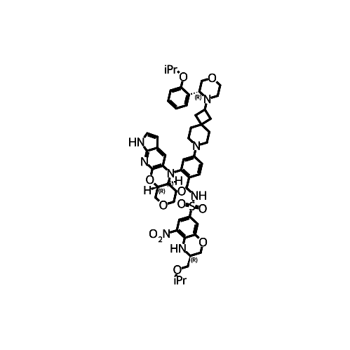 CC(C)OC[C@@H]1COc2cc(S(=O)(=O)NC(=O)c3ccc(N4CCC5(CC4)CC(N4CCOC[C@H]4c4ccccc4OC(C)C)C5)cc3N3c4cc5cc[nH]c5nc4O[C@H]4COCC[C@@H]43)cc([N+](=O)[O-])c2N1